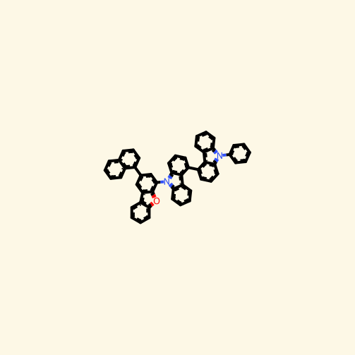 c1ccc(-n2c3ccccc3c3c(-c4cccc5c4c4ccccc4n5-c4cc(-c5cccc6ccccc56)cc5c4oc4ccccc45)cccc32)cc1